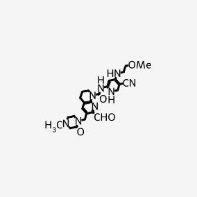 COCCNC1=C(C#N)CNC(NC(=O)N2CCCc3cc(CN4CCN(C)CC4=O)c(C=O)nc32)=C1